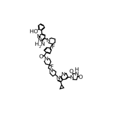 Nc1nnc(-c2ccccc2O)cc1N1CCC[C@@](F)(c2ccc(C(=O)N3CCC(F)(CN4CCC(n5cc(C6CC6)c6cc(N7CCC(=O)NC7=O)cnc65)CC4)CC3)cc2)C1